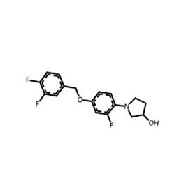 OC1CCN(c2ccc(OCc3ccc(F)c(F)c3)cc2F)C1